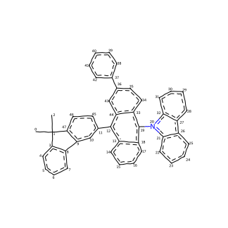 CC1(C)c2ccccc2-c2cc(-c3c4ccccc4c(-n4c5ccccc5c5ccccc54)c4ccc(-c5ccccc5)cc34)ccc21